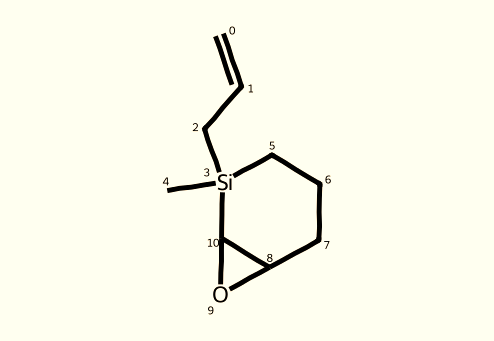 C=CC[Si]1(C)CCCC2OC21